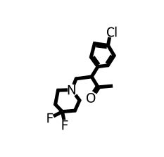 CC(=O)C(CN1CCC(F)(F)CC1)c1ccc(Cl)cc1